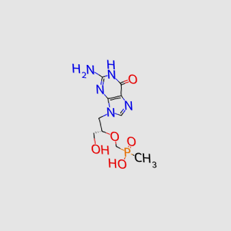 CP(=O)(O)CO[C@H](CO)Cn1cnc2c(=O)[nH]c(N)nc21